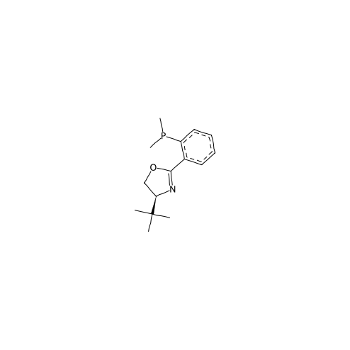 CP(C)c1ccccc1C1=N[C@@H](C(C)(C)C)CO1